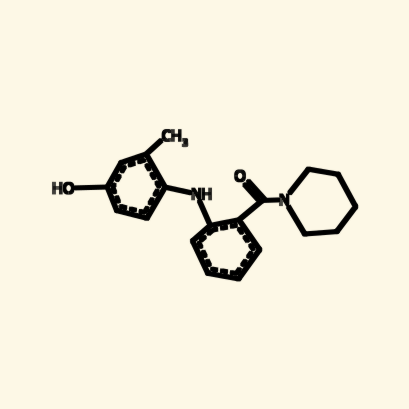 Cc1cc(O)ccc1Nc1ccccc1C(=O)N1CCCCC1